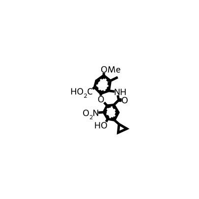 COc1cc(C(=O)O)c2c(c1C)NC(=O)c1cc(C3CC3)c(O)c([N+](=O)[O-])c1O2